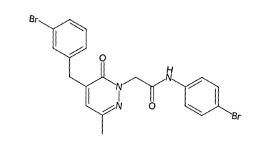 Cc1cc(Cc2cccc(Br)c2)c(=O)n(CC(=O)Nc2ccc(Br)cc2)n1